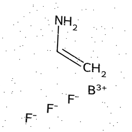 C=CN.[B+3].[F-].[F-].[F-]